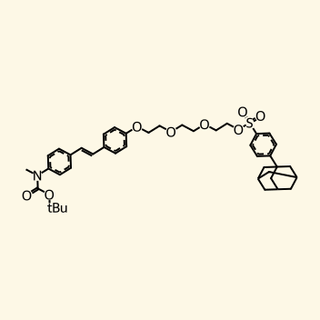 CN(C(=O)OC(C)(C)C)c1ccc(C=Cc2ccc(OCCOCCOCCOS(=O)(=O)c3ccc(C45CC6CC(CC(C6)C4)C5)cc3)cc2)cc1